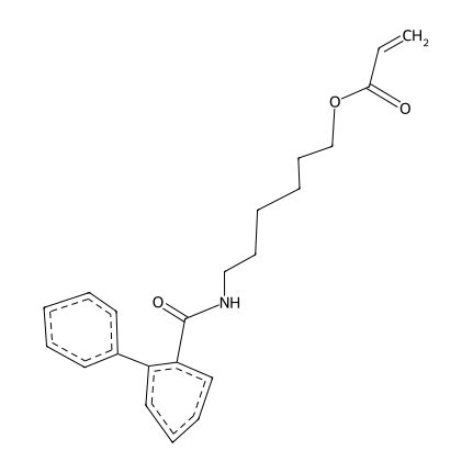 C=CC(=O)OCCCCCCNC(=O)c1ccccc1-c1ccccc1